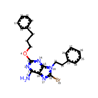 Nc1nc(OCCCc2ccccc2)nc2c1nc(Br)n2CCc1ccccc1